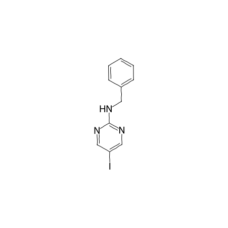 Ic1cnc(NCc2ccccc2)nc1